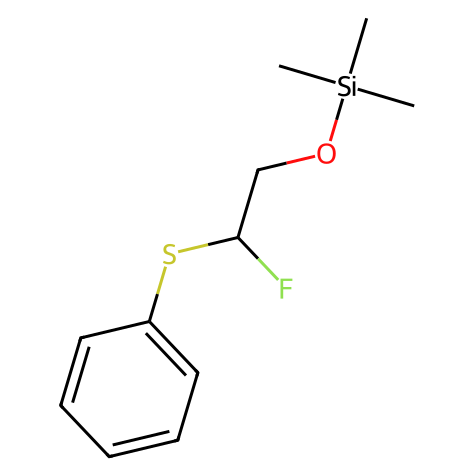 C[Si](C)(C)OCC(F)Sc1ccccc1